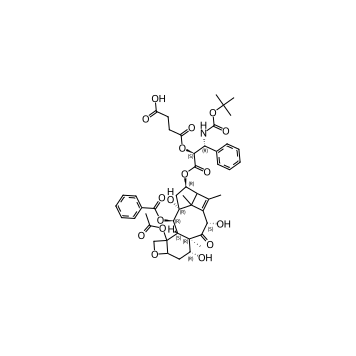 CC(=O)OC12COC1C[C@@H](O)[C@]1(C)C(=O)[C@@H](O)C3=C(C)C4[C@H](OC(=O)[C@@H](OC(=O)CCC(=O)O)[C@H](NC(=O)OC(C)(C)C)c5ccccc5)C[C@](O)([C@H](OC(=O)c5ccccc5)[C@@H]21)C34C